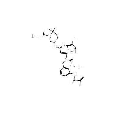 C=C(C)C(=O)Nc1cccc(CN(C(=O)OC(C)(C)C)c2cc(N[C@H]3CCC(C)(C)N(C(=O)OC(C)(C)C)C3)nc3c(C(C)C)cnn23)c1